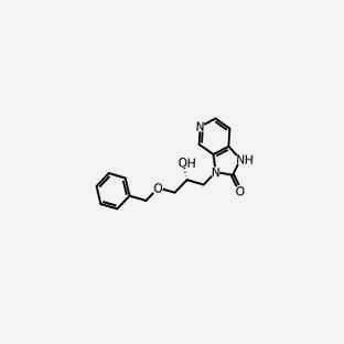 O=c1[nH]c2ccncc2n1C[C@@H](O)COCc1ccccc1